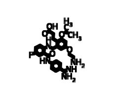 CC(C)Oc1cc(OCCN)cc(CNc2ccc(F)cc2C(=O)Nc2ccc(C(=N)N)cc2)c1CCC(=O)O